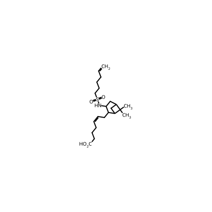 C=CCCCCS(=O)(=O)NC1CC2CC(C1C/C=C\CCCC(=O)O)C2(C)C